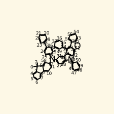 CC1(C)c2ccccc2-c2ccc(N(c3ccc(-c4ccccc4)cc3)c3ccc4c(c3)c3c(-c5ccccc5)c5c(cc3n4-c3ccccc3)oc3ccccc35)cc21